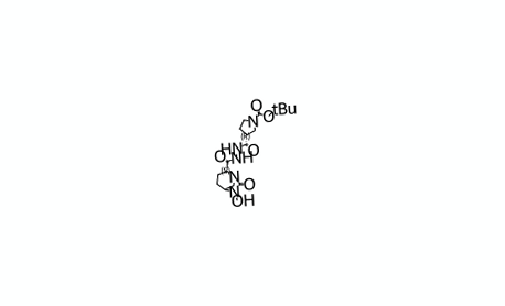 CC(C)(C)OC(=O)N1CC[C@@H](C(=O)NNC(=O)[C@@H]2CCC3CN2C(=O)N3O)C1